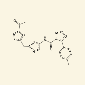 CC(=O)c1ccc(Cn2cc(NC(=O)c3ncoc3-c3ccc(C)cc3)cn2)o1